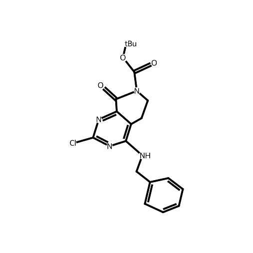 CC(C)(C)OC(=O)N1CCc2c(NCc3ccccc3)nc(Cl)nc2C1=O